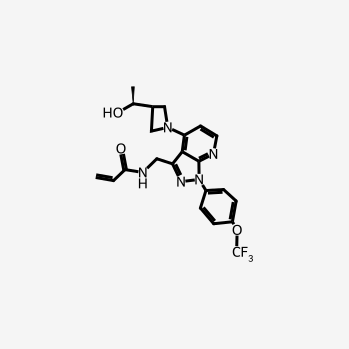 C=CC(=O)NCc1nn(-c2ccc(OC(F)(F)F)cc2)c2nccc(N3CC([C@H](C)O)C3)c12